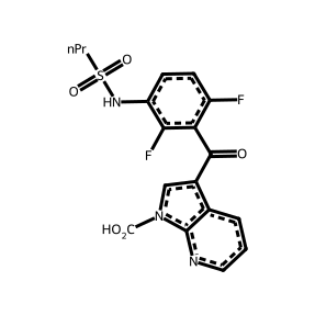 CCCS(=O)(=O)Nc1ccc(F)c(C(=O)c2cn(C(=O)O)c3ncccc23)c1F